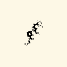 CCOC(=O)c1cccc(-n2nc(CC(C)C)cc2N)c1